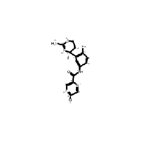 C[C@@]1(c2cc(NC(=O)c3cnc(Cl)cn3)ccc2F)CCOC(N)=N1